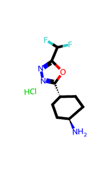 Cl.N[C@H]1CC[C@H](c2nnc(C(F)F)o2)CC1